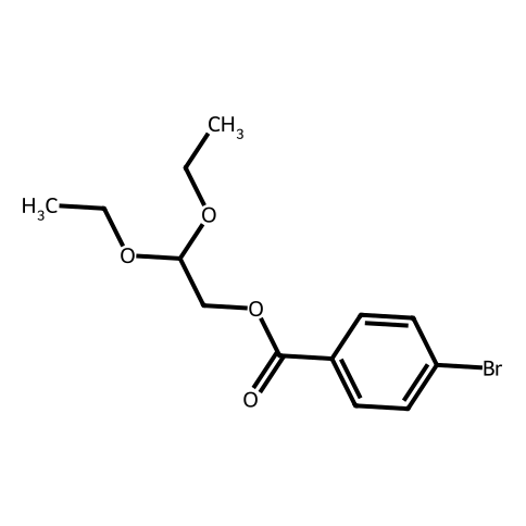 CCOC(COC(=O)c1ccc(Br)cc1)OCC